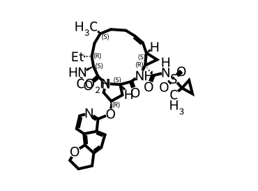 CC[C@@H]1C[C@@H](C)CCC=C[C@@H]2C[C@@]2(C(=O)NS(=O)(=O)C2(C)CC2)NC(=O)[C@@H]2C[C@@H](Oc3nccc4c5c(ccc34)CCCO5)CN2C(=O)[C@H]1NC(=O)O